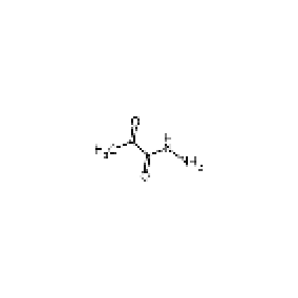 CC(=O)C(=O)NN